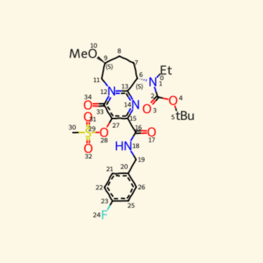 CCN(C(=O)OC(C)(C)C)[C@H]1CC[C@H](OC)Cn2c1nc(C(=O)NCc1ccc(F)cc1)c(OS(C)(=O)=O)c2=O